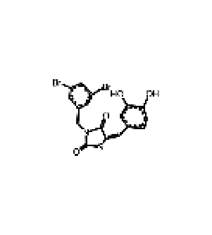 O=C1SC(=Cc2ccc(O)c(O)c2)C(=O)N1Cc1cc(Br)cc(Br)c1